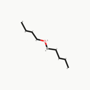 CCCC[B]OCCCC